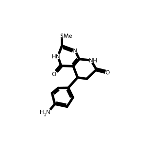 CSc1nc2c(c(=O)[nH]1)C(c1ccc(N)cc1)CC(=O)N2